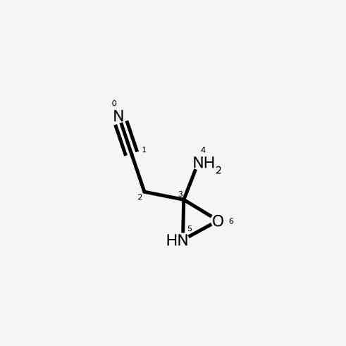 N#CCC1(N)NO1